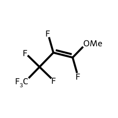 COC(F)=C(F)C(F)(F)C(F)(F)F